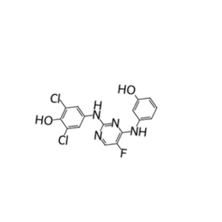 Oc1cccc(Nc2nc(Nc3cc(Cl)c(O)c(Cl)c3)ncc2F)c1